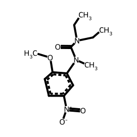 CCN(CC)C(=O)N(C)c1cc([N+](=O)[O-])ccc1OC